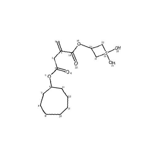 C=C(CC(=O)OC1CCCCCCC1)C(=O)OC1CS(O)(O)C1